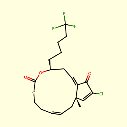 O=C1CCC/C=C\C[C@H]2C=C(Cl)C(=O)/C2=C/C[C@H](CCCCC(F)(F)F)O1